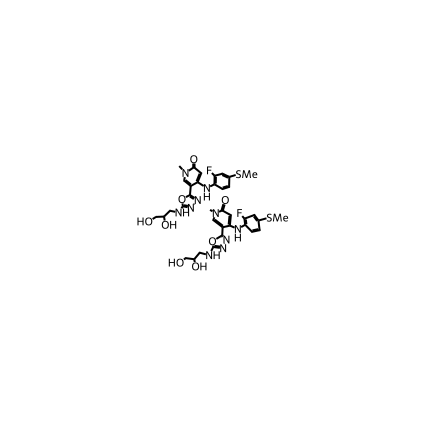 CSc1ccc(Nc2cc(=O)n(C)cc2-c2nnc(NCC(O)CO)o2)c(F)c1.CSc1ccc(Nc2cc(=O)n(C)cc2-c2nnc(NCC(O)CO)o2)c(F)c1